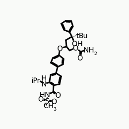 CC(C)Nc1cc(-c2ccc(OC(COC(N)=O)C[C@](O)(c3ccccc3)C(C)(C)C)cc2)ccc1C(=O)NS(C)(=O)=O